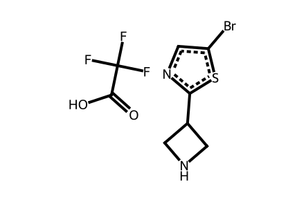 Brc1cnc(C2CNC2)s1.O=C(O)C(F)(F)F